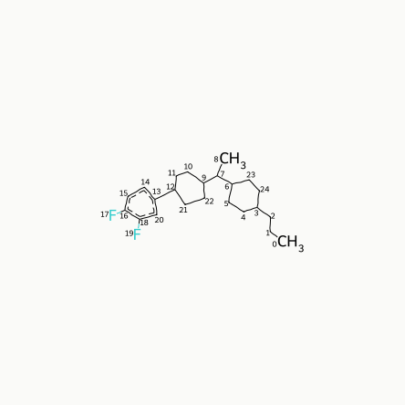 CCCC1CCC(C(C)C2CCC(c3ccc(F)c(F)c3)CC2)CC1